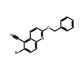 N#Cc1c(Br)ccc2nc(OCc3ccccc3)ccc12